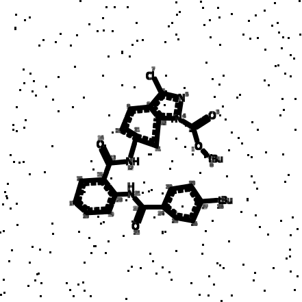 CC(C)(C)OC(=O)n1nc(Cl)c2ccc(NC(=O)c3ccccc3NC(=O)c3ccc(C(C)(C)C)cc3)cc21